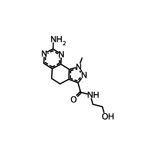 Cn1nc(C(=O)NCCO)c2c1-c1nc(N)ncc1CC2